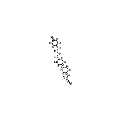 N#CC(F)=CC1CCC(C2CCC(CCCCc3ccc(F)cc3)CC2)CC1